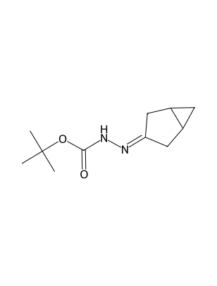 CC(C)(C)OC(=O)NN=C1CC2CC2C1